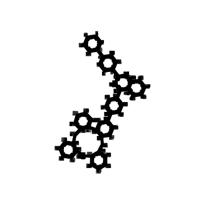 c1ccc(-c2ccc(-c3nc(-c4ccc(-c5ccc6c(c5)-c5ccccc5Cc5ccccc5Sc5ccccc5C6)cc4)c4ccccc4n3)cc2)cc1